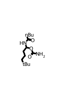 CCCCC(=O)NC(CCCC(C)(C)C)OC(N)=O